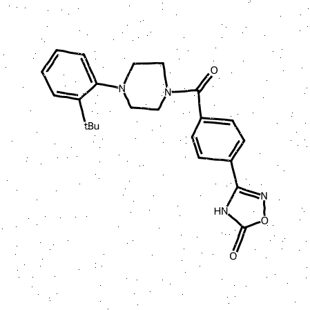 CC(C)(C)c1ccccc1N1CCN(C(=O)c2ccc(-c3noc(=O)[nH]3)cc2)CC1